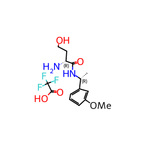 COc1cccc([C@@H](C)NC(=O)[C@H](N)CCO)c1.O=C(O)C(F)(F)F